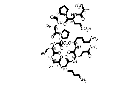 CC(C)C[C@H](NC(=O)[C@@H]1CCCN1C(=O)[C@@H](NC(=O)[C@@H]1CCCN1C(=O)[C@H](CCC(=O)O)NC(=O)[C@H](C)N)C(C)C)C(=O)N[C@H](C(=O)N[C@@H](CCCCN)C(=O)N[C@@H](CCC(N)=O)C(=O)N[C@@H](CCCCN)C(=O)O)C(C)C